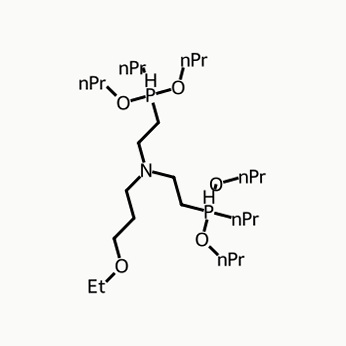 CCCO[PH](CCC)(CCN(CCCOCC)CC[PH](CCC)(OCCC)OCCC)OCCC